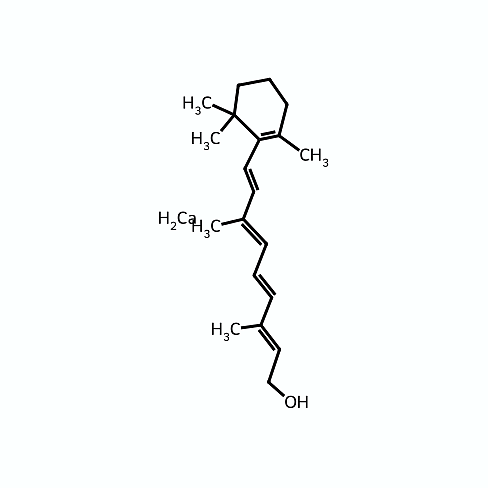 CC1=C(/C=C/C(C)=C/C=C/C(C)=C/CO)C(C)(C)CCC1.[CaH2]